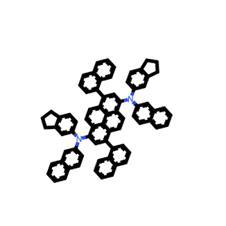 c1ccc2cc(N(c3ccc4c(c3)CCC4)c3cc(-c4cccc5ccccc45)c4ccc5c(N(c6ccc7c(c6)CCC7)c6ccc7ccccc7c6)cc(-c6cccc7ccccc67)c6ccc3c4c65)ccc2c1